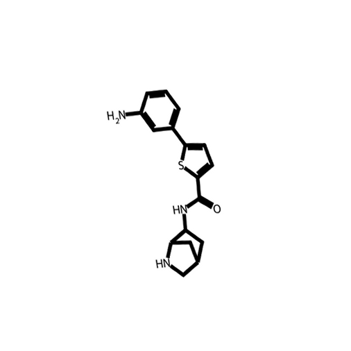 Nc1cccc(-c2ccc(C(=O)NC3CC4CNC3C4)s2)c1